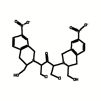 O=C(C(CCl)N1Cc2cc([N+](=O)[O-])ccc2CC1CO)C(CCl)N1Cc2cc([N+](=O)[O-])ccc2CC1CO